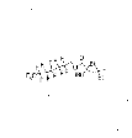 CCC(C)C(C)(CC(C)(CC)CC)C(=O)OCC(F)(F)C(F)(F)C(F)(F)C(F)(F)C(F)(F)C(F)(F)F